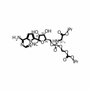 CC(C)OC(=O)OCOP(=O)(N[C@@H](C)C(=O)OC(C)C)OC[C@H]1O[C@@](C#N)(c2ccc3c(N)ncnn23)[C@H](O)[C@@H]1O